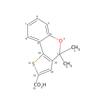 CC1(C)Oc2ccccc2-c2sc(C(=O)O)cc21